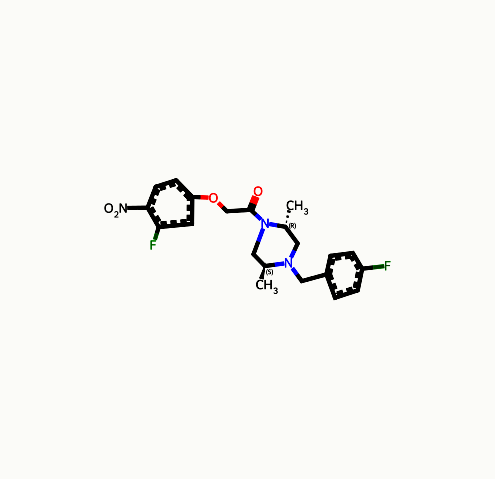 C[C@@H]1CN(Cc2ccc(F)cc2)[C@@H](C)CN1C(=O)COc1ccc([N+](=O)[O-])c(F)c1